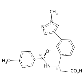 Cc1ccc([S@@+]([O-])N[C@@H](CC(=O)O)c2cccc(-c3cnn(C)c3)c2)cc1